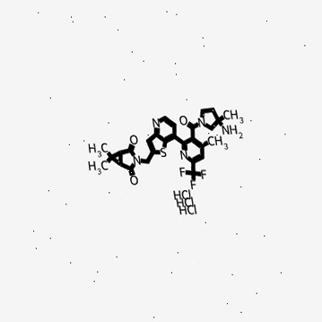 Cc1cc(C(F)(F)F)nc(-c2ccnc3cc(CN4C(=O)C5C(C4=O)C5(C)C)sc23)c1C(=O)N1CCC(C)(N)C1.Cl.Cl.Cl